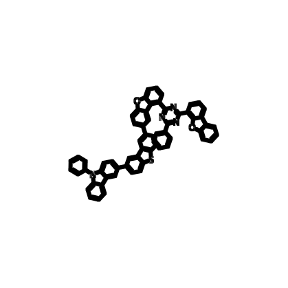 c1ccc(-c2nc(-c3cccc4c3oc3ccccc34)nc(-c3cccc4oc5ccc(-c6ccc7sc8ccc(-c9ccc%10c(c9)c9ccccc9n%10-c9ccccc9)cc8c7c6)cc5c34)n2)cc1